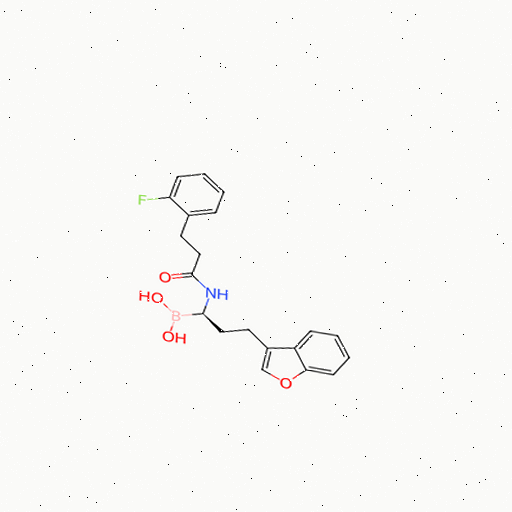 O=C(CCc1ccccc1F)N[C@@H](CCc1coc2ccccc12)B(O)O